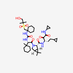 CC1([C@H](NC(=O)NC2(CS(=O)(=O)C(C)(C)CO)CCCCC2)C(=O)N2C[C@H]3[C@@H]([C@H]2C(=O)N[C@@H](CCC2CC2)C(=O)C(=O)NC2CC2)C3(C)C)CCCCC1